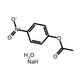 CC(=O)Oc1ccc([N+](=O)[O-])cc1.O.[NaH]